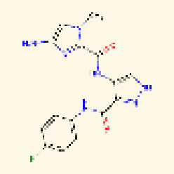 Cn1cc(N)nc1C(=O)Nc1c[nH]nc1C(=O)Nc1ccc(F)cc1